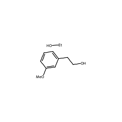 CCO.COc1cccc(CCO)c1